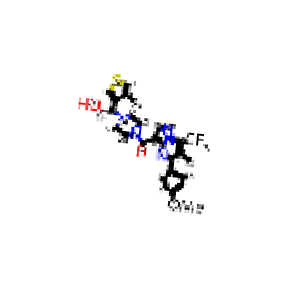 COc1ccc(-c2nc3c(C(=O)N4CCN([C@H](CO)c5cscc5C)CC4)cnn3c(C(F)(F)F)c2C)cc1